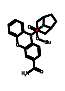 CC(C)(C)OC(=O)N1C2CCC1CC(N1c3ccccc3Oc3cc(C(N)=O)ccc31)C2